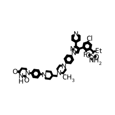 CCC(c1cc(Cl)cc(-c2cn(-c3ccc(N4CCN(CC5CCN(c6ccc(N7CCC(=O)NC7=O)cc6)CC5)[C@@H](C)C4)cc3)nc2-c2ccncc2)c1F)S(N)(=O)=O